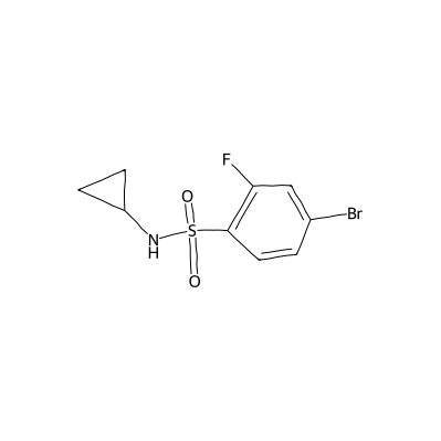 O=S(=O)(NC1CC1)c1ccc(Br)cc1F